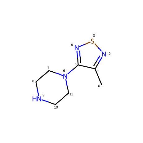 Cc1nsnc1N1CCNCC1